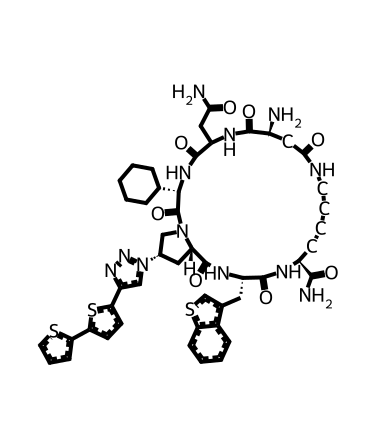 NC(=O)CC1NC(=O)[C@@H](N)CC(=O)NCCCC[C@@H](C(N)=O)NC(=O)[C@H](Cc2csc3ccccc23)NC(=O)[C@@H]2C[C@H](n3cc(-c4ccc(-c5cccs5)s4)nn3)CN2C(=O)[C@H](C2CCCCC2)NC1=O